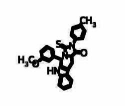 COc1cccc(C2c3[nH]c4ccccc4c3CC3C(=O)N(c4ccc(C)cc4)C(=S)N32)c1